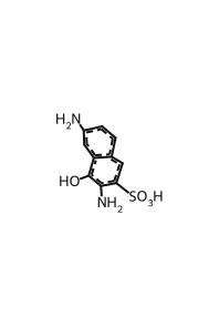 Nc1ccc2cc(S(=O)(=O)O)c(N)c(O)c2c1